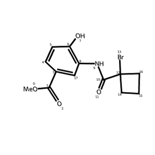 COC(=O)c1ccc(O)c(NC(=O)C2(Br)CCC2)c1